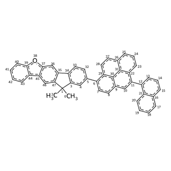 CC1(C)c2cc(-c3ccc4cc(-c5cccc6ccccc56)c5cccc6ccc3c4c65)ccc2-c2cc3oc4ccccc4c3cc21